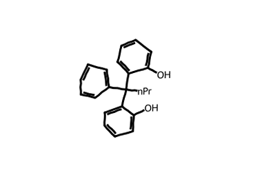 CCCC(c1ccccc1)(c1ccccc1O)c1ccccc1O